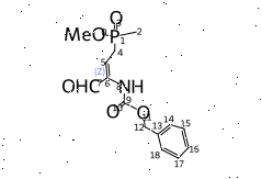 COP(C)(=O)C/C=C(/C=O)NC(=O)OCc1ccccc1